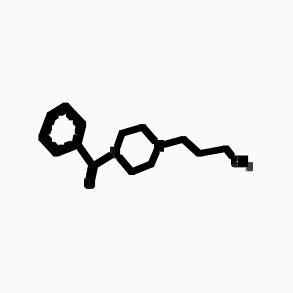 CCCCN1CCN(C(=O)c2ccccc2)CC1